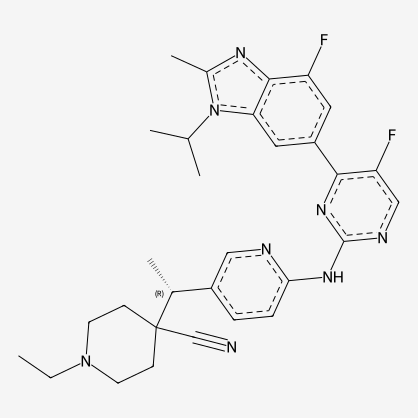 CCN1CCC(C#N)([C@H](C)c2ccc(Nc3ncc(F)c(-c4cc(F)c5nc(C)n(C(C)C)c5c4)n3)nc2)CC1